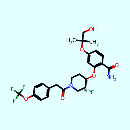 CC(C)(CO)Oc1ccc(C(N)=O)c(O[C@@H]2CCN(C(=O)Cc3ccc(OC(F)(F)F)cc3)C[C@H]2F)c1